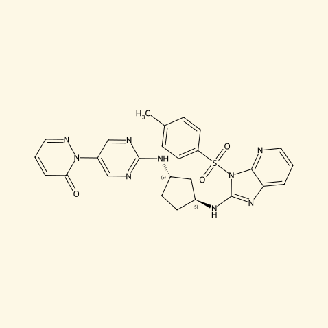 Cc1ccc(S(=O)(=O)n2c(N[C@H]3CC[C@H](Nc4ncc(-n5ncccc5=O)cn4)C3)nc3cccnc32)cc1